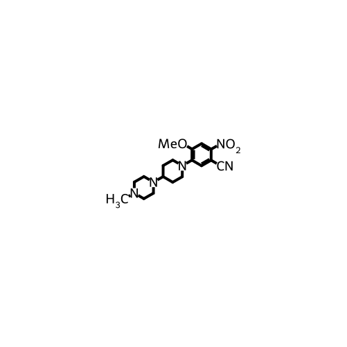 COc1cc([N+](=O)[O-])c(C#N)cc1N1CCC(N2CCN(C)CC2)CC1